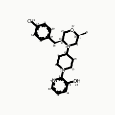 C[C@H]1CN(C2CCN(c3ncccc3O)CC2)[C@@H](Cc2ccc(Cl)cc2)CO1